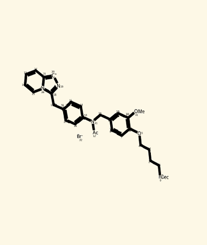 CCCCCCCCCCCCCCOc1ccc(CN(C(C)=O)c2ccc(CC3=N[C+]=C4C=CC=CN43)cc2)cc1OC.[Br-]